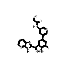 CC(C)CC(=O)Nc1cncc(-c2cc(F)c3[nH]nc(-c4nc5cccnc5[nH]4)c3c2)c1